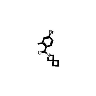 Cc1cc(Br)ccc1C(=O)N1CC2(CCC2)C1